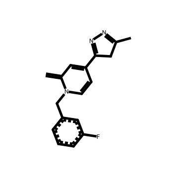 C=C1C=C(C2=NN=C(C)C2)C=CN1Cc1cccc(F)c1